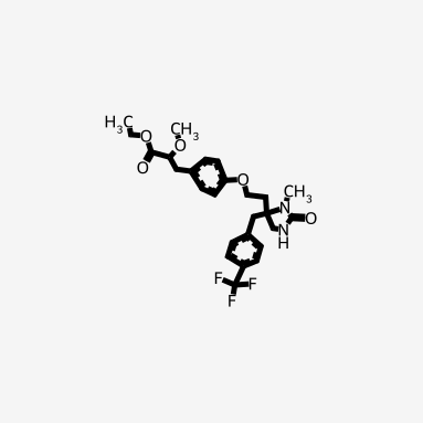 CCOC(=O)C(Cc1ccc(OCCC2(Cc3ccc(C(F)(F)F)cc3)CNC(=O)N2C)cc1)OC